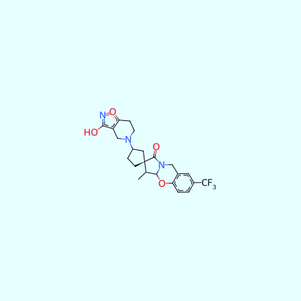 CC1C2Oc3ccc(C(F)(F)F)cc3CN2C(=O)[C@]12CCC(N1CCc3onc(O)c3C1)C2